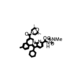 CNS(=O)(=O)NC(=O)c1ccc2c(C3CCCCC3)c3n(c2n1)CC(C(=O)N1C[C@@H](C)O[C@@H](C)C1)=Cc1cc(C)ccc1-3